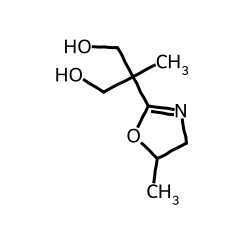 CC1CN=C(C(C)(CO)CO)O1